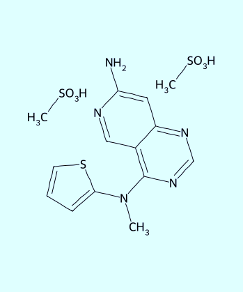 CN(c1cccs1)c1ncnc2cc(N)ncc12.CS(=O)(=O)O.CS(=O)(=O)O